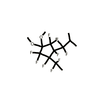 COC1(OC)C(F)(F)C(F)(C(C)(F)F)C(F)(C(F)(F)C(C)C)C1(F)F